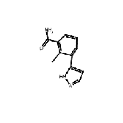 Cc1c(C(N)=O)cccc1-c1ccn[nH]1